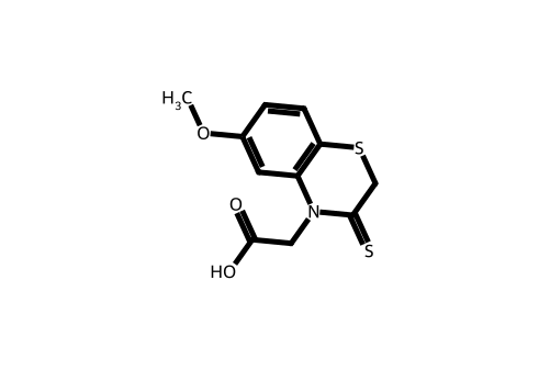 COc1ccc2c(c1)N(CC(=O)O)C(=S)CS2